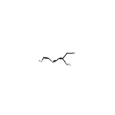 C\C=C/N=C\C=C(/N)CC(C)C